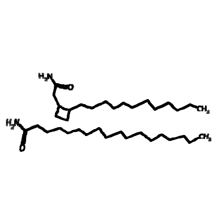 CCCCCCCCCCCCC1CCC1CC(N)=O.CCCCCCCCCCCCCCCCCC(N)=O